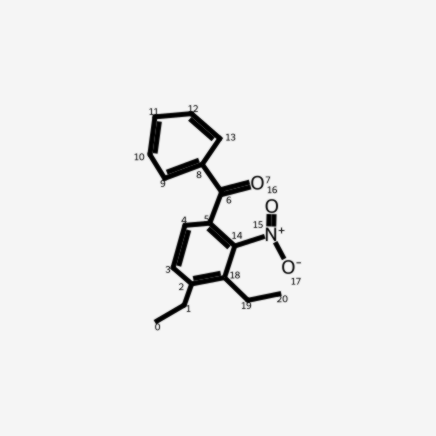 CCc1ccc(C(=O)c2ccccc2)c([N+](=O)[O-])c1CC